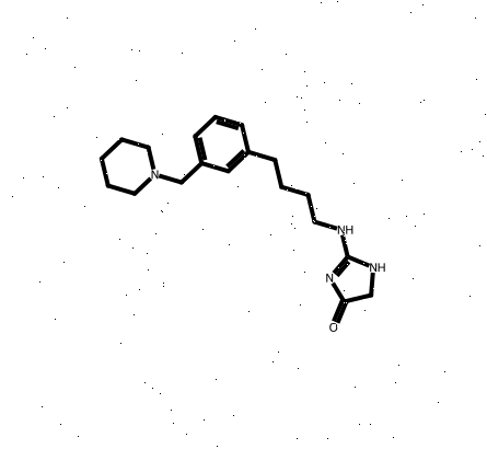 O=C1CNC(NCCCCc2cccc(CN3CCCCC3)c2)=N1